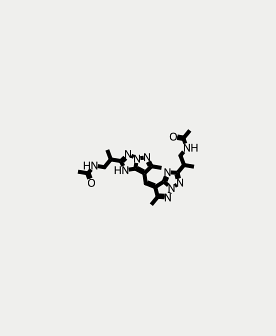 CC(=O)NCC(C)c1nc2/c(=C\c3c(C)nn4nc(C(C)CNC(C)=O)[nH]c34)c(C)nn2n1